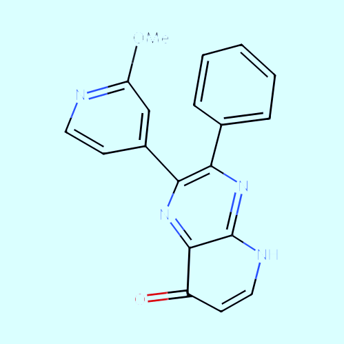 COc1cc(-c2nc3c(=O)cc[nH]c3nc2-c2ccccc2)ccn1